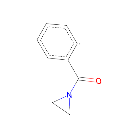 O=C(c1[c]cccc1)N1CC1